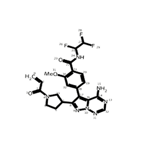 C=CC(=O)N1CCC(c2nn3ncnc(N)c3c2-c2ccc(C(=O)NC(F)C(F)F)c(OC)c2)C1